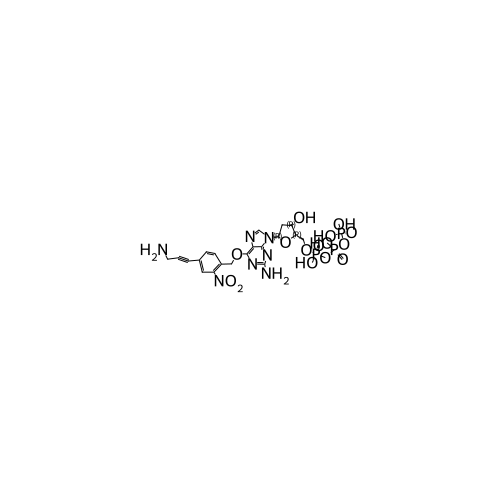 NCC#Cc1ccc(COc2nc(N)nc3c2ncn3[C@H]2C[C@@H](O)[C@@H](COP(=O)(O)OP(=O)(O)OP(=O)(O)O)O2)c([N+](=O)[O-])c1